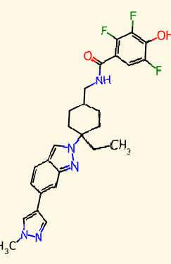 CCC1(n2cc3ccc(-c4cnn(C)c4)cc3n2)CCC(CNC(=O)c2cc(F)c(O)c(F)c2F)CC1